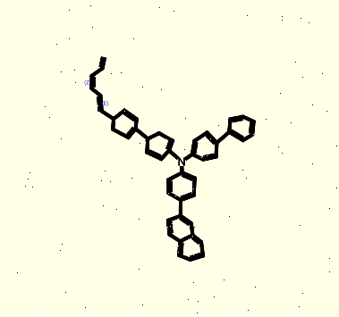 C=C/C=C\C=C\C1C=CC(C2C=CC(N(c3ccc(-c4ccccc4)cc3)c3ccc(-c4ccc5ccccc5c4)cc3)=CC2)=CC1